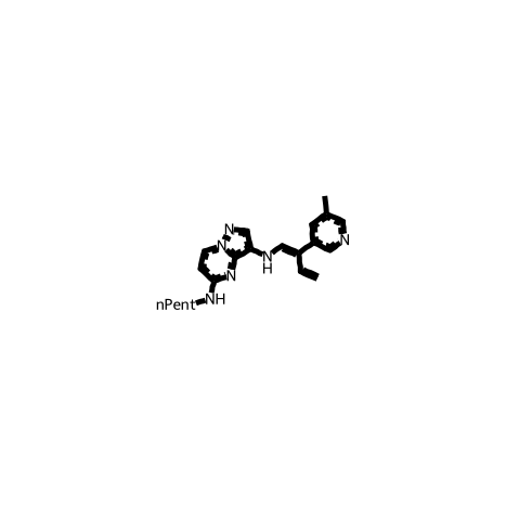 C=C/C(=C\Nc1cnn2ccc(NCCCCC)nc12)c1cncc(C)c1